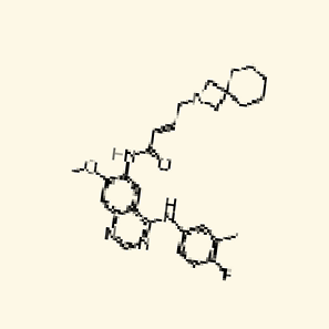 COc1cc2ncnc(Nc3ccc(F)c(C)c3)c2cc1NC(=O)/C=C/CN1CC2(CCCCC2)C1